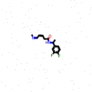 C/N=C\C=C/CC(=O)NC(C)c1ccc(F)c(F)c1